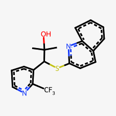 CC(C)(O)C(Sc1ccc2ccccc2n1)c1cccnc1C(F)(F)F